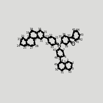 c1ccc2c(-c3ccc(N(c4ccc(-c5ccc6ccc7c8ccccc8ccc7c6c5)cc4)c4ccc5c(c4)oc4ccccc45)cc3)cccc2c1